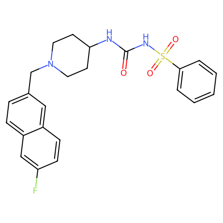 O=C(NC1CCN(Cc2ccc3cc(F)ccc3c2)CC1)NS(=O)(=O)c1ccccc1